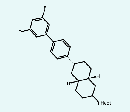 CCCCCCCC1CC[C@@H]2C[C@H](c3ccc(-c4cc(F)cc(F)c4)cc3)CC[C@@H]2C1